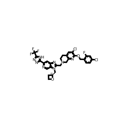 Fc1cc(Cl)ccc1COc1nc2c(cc1Cl)CCN(Cc1nc3cc(-c4nnc(C(F)(F)F)[nH]4)ncc3n1C[C@@H]1CCO1)C2